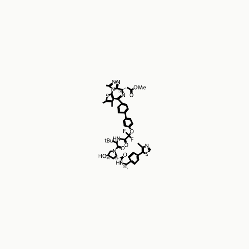 COC(=O)C[C@@H]1N=C(c2ccc(-c3ccc(OC(F)(F)C(=O)NC(C(=O)N4C[C@H](O)C[C@H]4C(=O)N[C@@H](C)c4ccc(-c5scnc5C)cc4)C(C)(C)C)cc3)cc2)c2c(sc(C)c2C)-n2c(C)nnc21